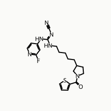 N#C/N=C(/NCCCCCC1CCN(C(=O)c2cccs2)C1)Nc1ccnc(F)c1